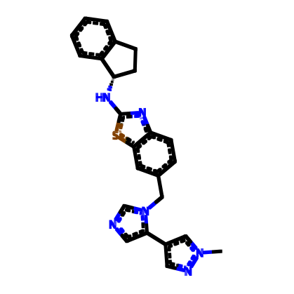 Cn1cc(-c2cncn2Cc2ccc3nc(N[C@H]4CCc5ccccc54)sc3c2)cn1